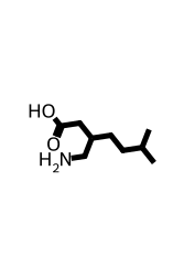 CC(C)CCC(CN)CC(=O)O